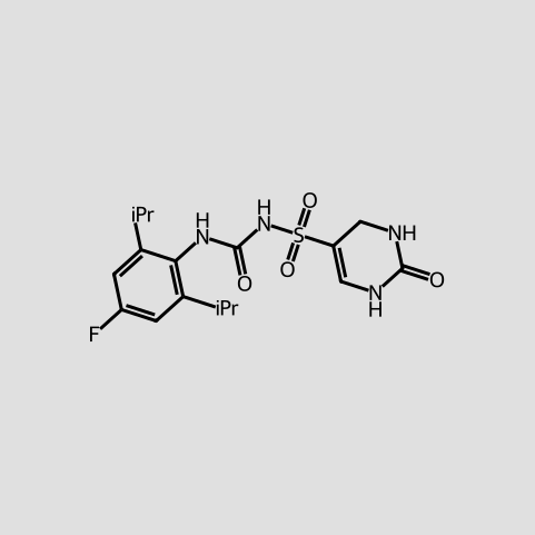 CC(C)c1cc(F)cc(C(C)C)c1NC(=O)NS(=O)(=O)C1=CNC(=O)NC1